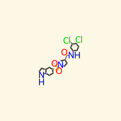 O=C(Nc1ccc(Cl)c(Cl)c1)c1ccn(S(=O)(=O)c2ccc3[nH]ccc3c2)c1